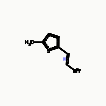 CCC/C=C/c1ccc(C)s1